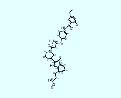 CCc1cc(C(=O)Nc2ccc(CC(N)CC(=O)N3CCCC(c4[nH]c5c(CCC(F)OC)cccc5c4C)C3)cc2)n(C)n1